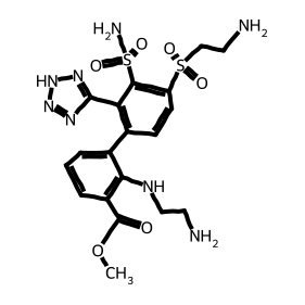 COC(=O)c1cccc(-c2ccc(S(=O)(=O)CCN)c(S(N)(=O)=O)c2-c2nn[nH]n2)c1NCCN